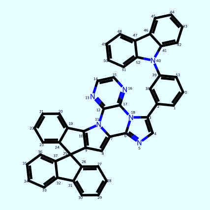 c1cc(-c2cnc3c4cc5c(n4c4nccnc4n23)-c2ccccc2C52c3ccccc3-c3ccccc32)cc(-n2c3ccccc3c3ccccc32)c1